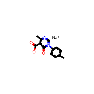 Cc1ccc(-n2cnc(C)c(C(=O)[O-])c2=O)cc1.[Na+]